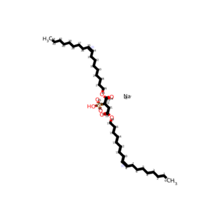 CCCCCCCC/C=C\CCCCCCCCOC(=O)CC(C(=O)OCCCCCCCC/C=C\CCCCCCCC)S(=O)(=O)O.[Na]